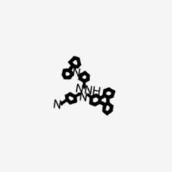 N#Cc1ccc(C2=NC(c3ccc4c5ccccc5c5ccccc5c4c3)NC(c3cccc(-n4c5ccccc5c5ccccc54)c3)=N2)cc1